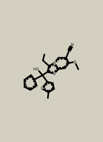 CCc1c(C(O)(c2ccccc2)c2ccc(C)s2)nc2cc(OC)c(C#N)cn12